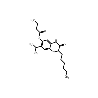 CCCCCCC1Oc2cc(C(C)C)c(OC(=O)CCC)cc2NC1=O